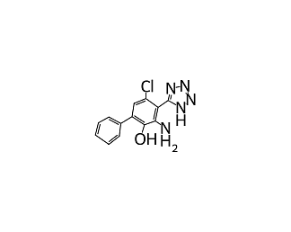 Nc1c(O)c(-c2ccccc2)cc(Cl)c1-c1nnn[nH]1